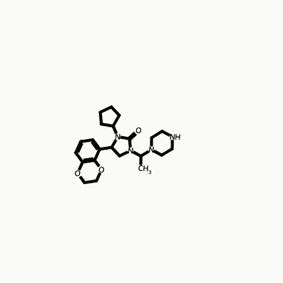 CC(N1CCNCC1)N1CC(c2cccc3c2OCCO3)N(C2CCCC2)C1=O